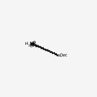 CCCCCCCCCCCCCCCCCCCCCCCCCCCCCCCC(=O)N(N)O